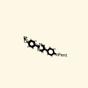 CCCCCC1CCC(c2cnc(-c3ccc(OCC)cc3)nc2)CC1